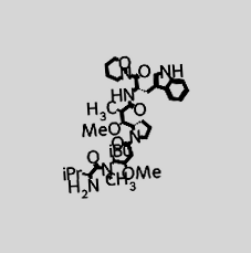 CC[C@H](C)[C@@H]([C@@H](CC(=O)N1CCC[C@H]1[C@H](OC)[C@@H](C)C(=O)N[C@@H](Cc1c[nH]c2ccccc12)C(=O)N1CCCCO1)OC)N(C)C(=O)[C@@H](N)C(C)C